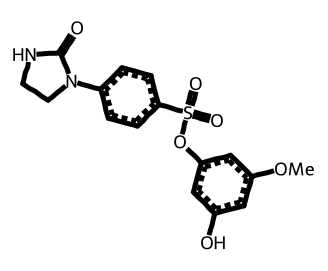 COc1cc(O)cc(OS(=O)(=O)c2ccc(N3CCNC3=O)cc2)c1